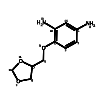 Nc1ccc(OCC2COCO2)c(N)c1